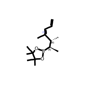 C=C/C=C(/C)[C@H](C)[C@@H](C)B1OC(C)(C)C(C)(C)O1